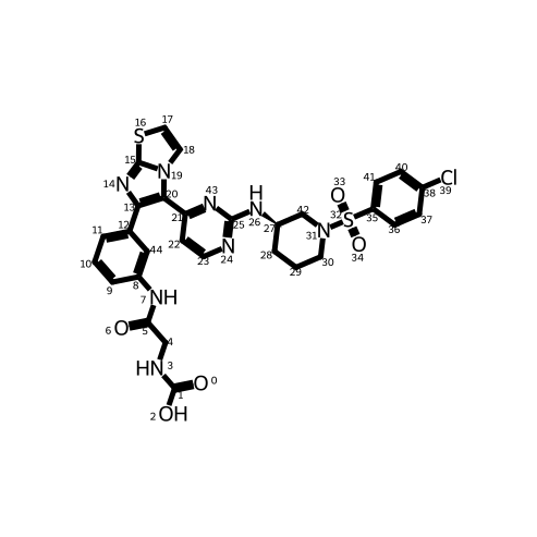 O=C(O)NCC(=O)Nc1cccc(-c2nc3sccn3c2-c2ccnc(N[C@@H]3CCCN(S(=O)(=O)c4ccc(Cl)cc4)C3)n2)c1